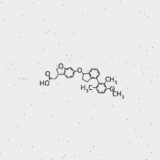 COc1ccc(C)c(-c2cccc3c2CC[C@H]3Oc2ccc3c(c2)OCC3CC(=O)O)c1C